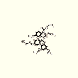 CCOC(=O)N1c2ccc(C)cc2[C@@H](N(Cc2cc(OC)cc(OC)c2)c2ncc(OCCO)cn2)C[C@H]1CC